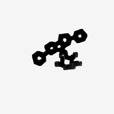 COC(=O)CCC1(CCC(=O)OC)c2cc(-c3ccccc3)ccc2-c2ccc(-c3ccccc3)cc21